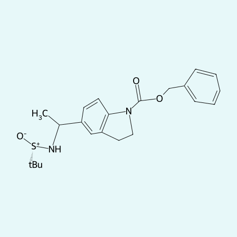 CC(N[S@@+]([O-])C(C)(C)C)c1ccc2c(c1)CCN2C(=O)OCc1ccccc1